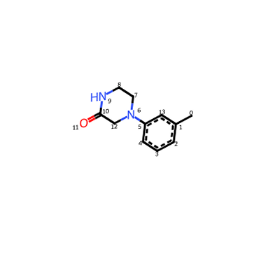 Cc1cccc(N2CCNC(=O)C2)c1